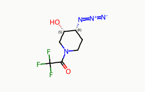 [N-]=[N+]=N[C@@H]1CCN(C(=O)C(F)(F)F)C[C@@H]1O